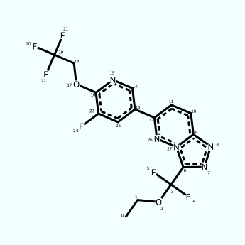 CCOC(F)(F)c1nnc2ccc(-c3cnc(OCC(F)(F)F)c(F)c3)nn12